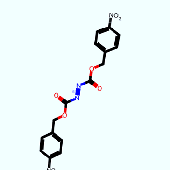 O=C(/N=N/C(=O)OCc1ccc([N+](=O)[O-])cc1)OCc1ccc([N+](=O)[O-])cc1